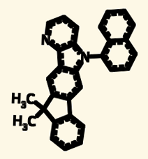 CC1(C)c2ccccc2-c2cc3c(cc21)c1ncccc1n3-c1cccc2ccccc12